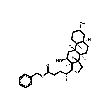 C[C@H](CCC(=O)OCc1ccccc1)[C@H]1CC[C@H]2[C@@H]3CC[C@@H]4C[C@H](O)CC[C@]4(C)[C@H]3C[C@H](O)[C@]12C